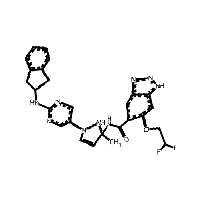 CC1(NC(=O)c2cc3nn[nH]c3cc2OCC(F)F)C=CN(c2cnc(NC3Cc4ccccc4C3)nc2)N1